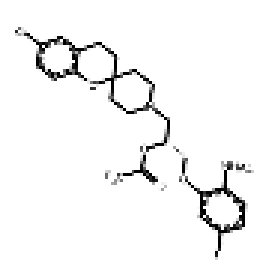 CC(=O)Nc1ccc(F)cc1OC[C@@H](CN1CCC2(CCc3cc(Cl)ccc3O2)CC1)OC(=O)C(F)(F)F